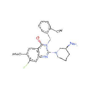 COc1cc2c(=O)n(Cc3ccccc3C#N)c(N3CCCC(N)C3)nc2cc1F